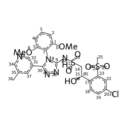 COc1cccc(OC)c1-n1c(NS(=O)(=O)C[C@H](O)c2ccc(Cl)cc2S(C)(=O)=O)nnc1-c1cncc(C)c1